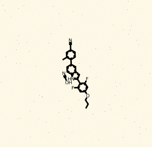 CCCOc1cc(F)c(-c2cc3cc(-c4ccc(C#N)cc4C)ccc3[nH]2)c(F)c1.N#CO